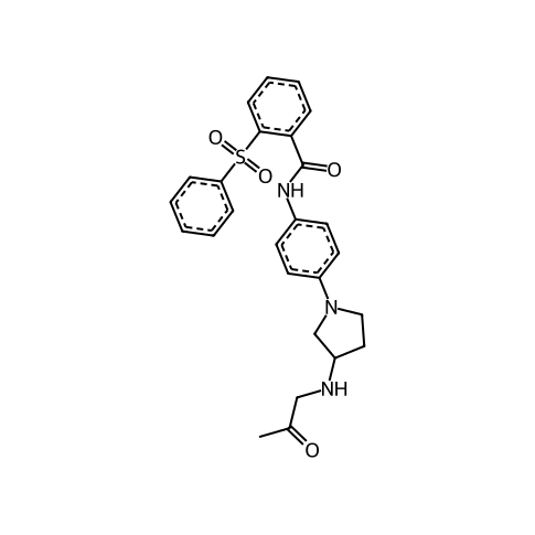 CC(=O)CNC1CCN(c2ccc(NC(=O)c3ccccc3S(=O)(=O)c3ccccc3)cc2)C1